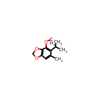 COc1c2c(cc(C)c1C(C)C)OCO2